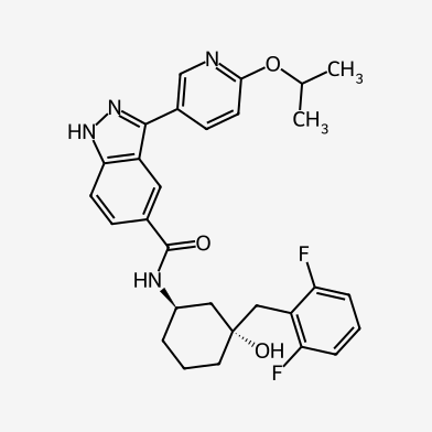 CC(C)Oc1ccc(-c2n[nH]c3ccc(C(=O)N[C@@H]4CCC[C@](O)(Cc5c(F)cccc5F)C4)cc23)cn1